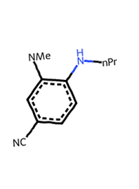 CCCNc1ccc(C#N)cc1NC